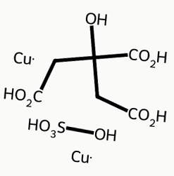 O=C(O)CC(O)(CC(=O)O)C(=O)O.O=S(=O)(O)O.[Cu].[Cu]